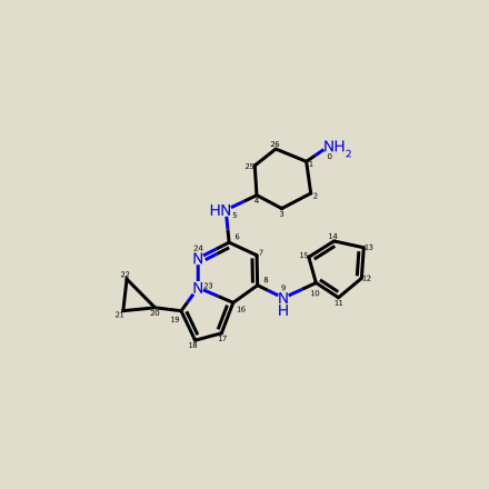 NC1CCC(Nc2cc(Nc3ccccc3)c3ccc(C4CC4)n3n2)CC1